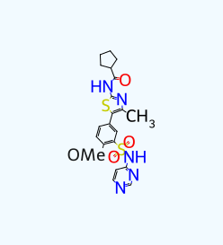 COc1ccc(-c2sc(NC(=O)C3CCCC3)nc2C)cc1S(=O)(=O)Nc1ccncn1